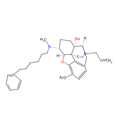 C=CCN1CC[C@]23c4c5ccc(OC(C)=O)c4O[C@H]2[C@H](N(C)CCCCCCc2ccccc2)CC[C@@]3(O)[C@H]1C5